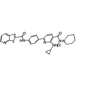 CCN(C(=O)c1ccc(-c2ccc(NC(=O)c3cc4cccnc4s3)cc2)nc1NC1CC1)N1CCCCC1